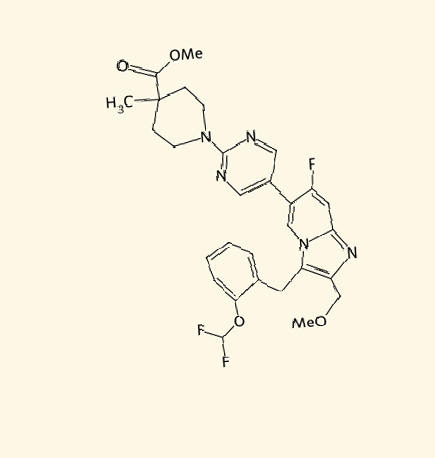 COCc1nc2cc(F)c(-c3cnc(N4CCC(C)(C(=O)OC)CC4)nc3)cn2c1Cc1ccccc1OC(F)F